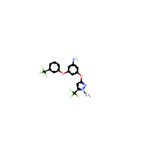 Cn1nc(Oc2cc(N)cc(Oc3cccc(C(F)(F)F)c3)c2)cc1C(F)(F)F